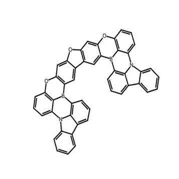 c1cc2c3c(c1)-n1c4ccccc4c4cccc(c41)B3c1cc3c(cc1O2)oc1cc2c(cc13)B1c3c(cccc3-n3c4ccccc4c4cccc1c43)O2